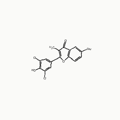 Cc1c(-c2cc(Cl)c(O)c(Cl)c2)oc2ccc(O)cc2c1=O